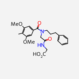 COc1cc(C(=O)N(CCCc2ccccc2)CC(=O)NCC(=O)O)cc(OC)c1C